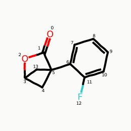 O=C1OC2CC1(c1ccccc1F)C2